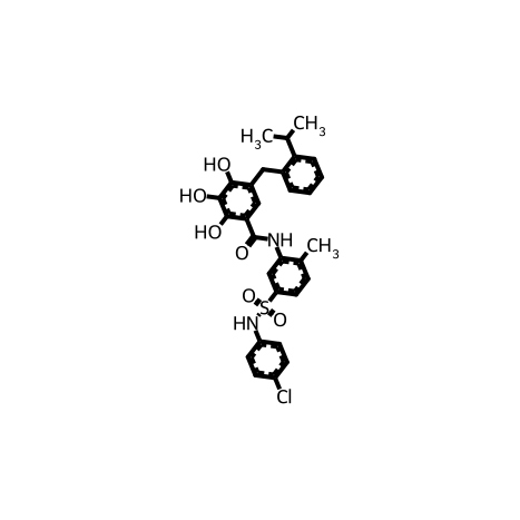 Cc1ccc(S(=O)(=O)Nc2ccc(Cl)cc2)cc1NC(=O)c1cc(Cc2ccccc2C(C)C)c(O)c(O)c1O